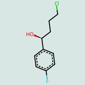 O[C@@H](CCCCl)c1ccc(F)cc1